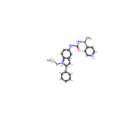 CC(NC(=O)Nc1ccc2c(c1)cc(-c1ccccc1)n2CC(=O)O)c1ccncc1